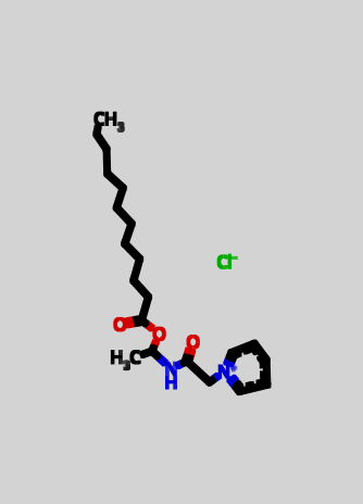 CCCCCCCCCCCC(=O)OC(C)NC(=O)C[n+]1ccccc1.[Cl-]